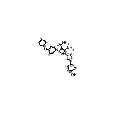 NC(=O)c1c(-c2ccc(Oc3ccccc3)cc2)nn(C2CCN(C(=O)/C=C\C(=O)O)C2)c1N